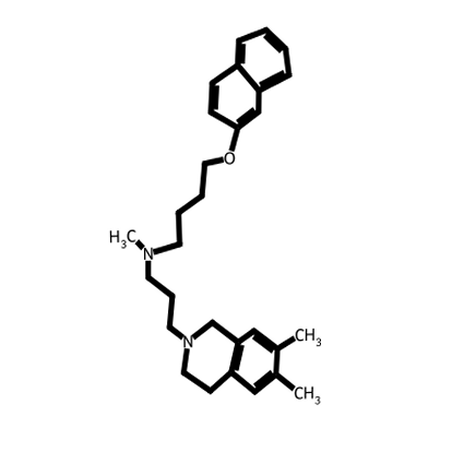 Cc1cc2c(cc1C)CN(CCCN(C)CCCCOc1ccc3ccccc3c1)CC2